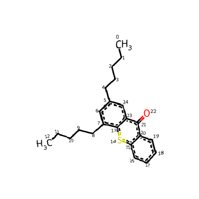 CCCCCc1cc(CCCCC)c2sc3ccccc3c(=O)c2c1